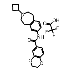 O=C(Nc1ccc2c(c1)CCN(C1CCC1)CC2)c1ccc2c(c1)OCCO2.O=C(O)C(F)(F)F